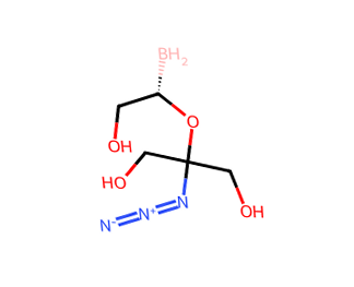 B[C@@H](CO)OC(CO)(CO)N=[N+]=[N-]